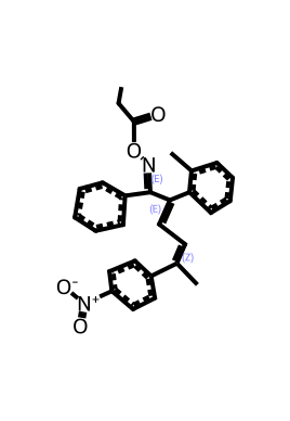 CCC(=O)O/N=C(/C(=C/C=C(/C)c1ccc([N+](=O)[O-])cc1)c1ccccc1C)c1ccccc1